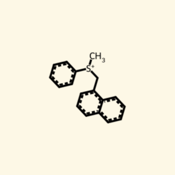 C[S+](Cc1cccc2ccccc12)c1ccccc1